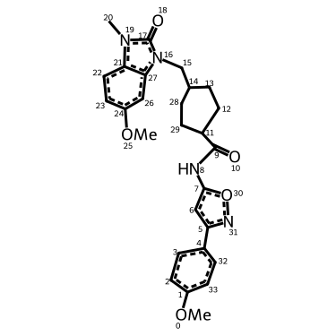 COc1ccc(-c2cc(NC(=O)C3CCC(Cn4c(=O)n(C)c5ccc(OC)cc54)CC3)on2)cc1